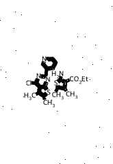 CCOC(=O)c1c(N)sc(C)c1C.Cc1sc2nc(-c3cccnc3)nc(Cl)c2c1C